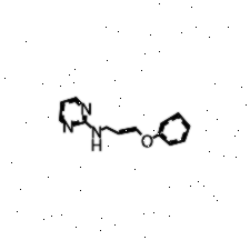 C(=COc1ccccc1)CNc1ncccn1